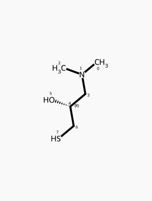 CN(C)C[C@@H](O)CS